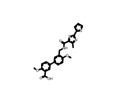 COc1ccc(-c2ccc(OC)c(C(=O)O)c2)cc1CNC(=O)c1sc(-c2cccs2)nc1C